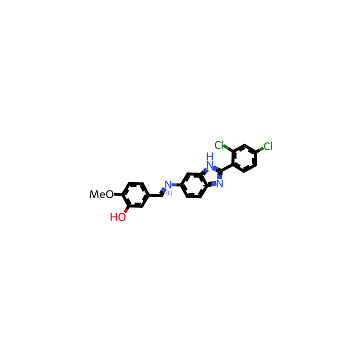 COc1ccc(/C=N/c2ccc3nc(-c4ccc(Cl)cc4Cl)[nH]c3c2)cc1O